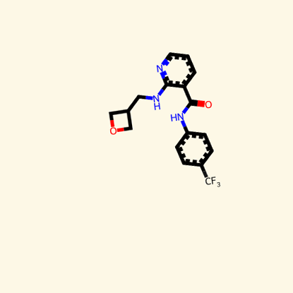 O=C(Nc1ccc(C(F)(F)F)cc1)c1cccnc1NCC1COC1